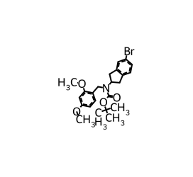 COc1ccc(CN(C(=O)OC(C)(C)C)C2Cc3ccc(Br)cc3C2)c(OC)c1